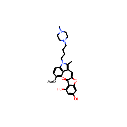 COc1ccc2c(c1)c(C=C1Oc3cc(O)cc(O)c3C1=O)c(C)n2CCCCN1CCN(C)CC1